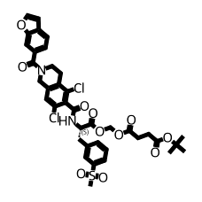 CC(C)(C)OC(=O)CCC(=O)OCOC(=O)[C@H](Cc1cccc(S(C)(=O)=O)c1)NC(=O)c1c(Cl)cc2c(c1Cl)CCN(C(=O)c1ccc3ccoc3c1)C2